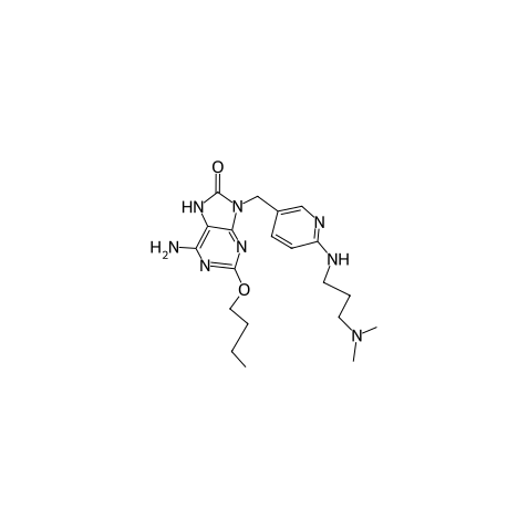 CCCCOc1nc(N)c2[nH]c(=O)n(Cc3ccc(NCCCN(C)C)nc3)c2n1